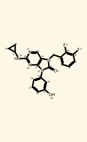 O=c1n(Cc2cccc(F)c2F)c2cnc(NC3CC3)nc2n1-c1cccc(O)c1